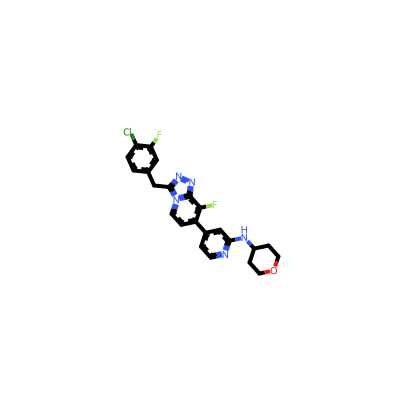 Fc1cc(Cc2nnc3c(F)c(-c4ccnc(NC5CCOCC5)c4)ccn23)ccc1Cl